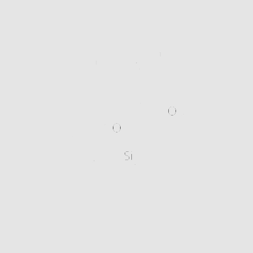 C=C[Si](C)(CC)OC(=O)C(=C)C